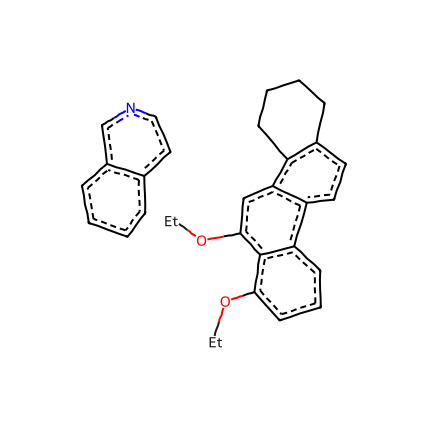 CCOc1cccc2c1c(OCC)cc1c3c(ccc12)CCCC3.c1ccc2cnccc2c1